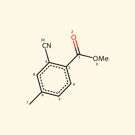 COC(=O)c1ccc(C)cc1C#N